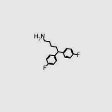 NCCCCC(c1ccc(F)cc1)c1ccc(F)cc1